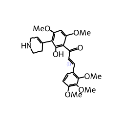 COc1ccc(/C=C/C(=O)c2c(OC)cc(OC)c(C3=CCNCC3)c2O)c(OC)c1OC